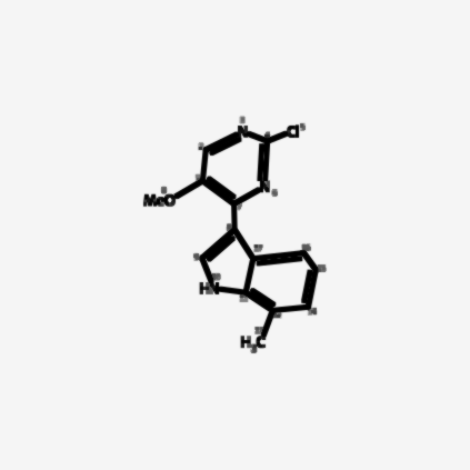 COc1cnc(Cl)nc1-c1c[nH]c2c(C)cccc12